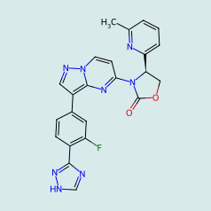 Cc1cccc([C@H]2COC(=O)N2c2ccn3ncc(-c4ccc(-c5nc[nH]n5)c(F)c4)c3n2)n1